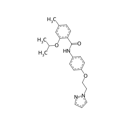 Cc1ccc(C(=O)Nc2ccc(OCCn3cccn3)cc2)c(OC(C)C)c1